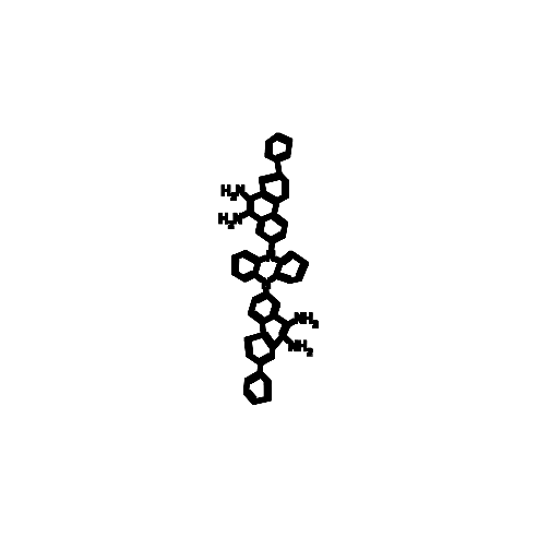 Nc1c(N)c2cc(N3c4ccccc4N(c4ccc5c(c4)c(N)c(N)c4cc(-c6ccccc6)ccc45)c4ccccc43)ccc2c2ccc(-c3ccccc3)cc12